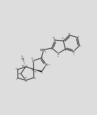 c1cnc2sc(NC3=NC[C@]4(CN5CC[C@@H]4C5)O3)nc2c1